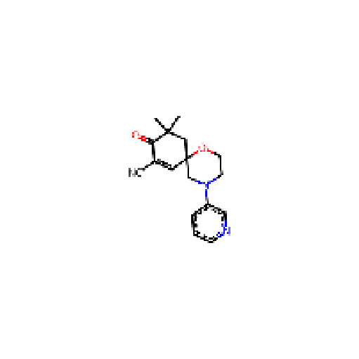 CC1(C)CC2(C=C(C#N)C1=O)CN(c1cccnc1)CCO2